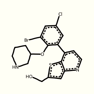 OCc1cc2nccc(-c3cc(Cl)cc(Br)c3OC3CCCNC3)c2s1